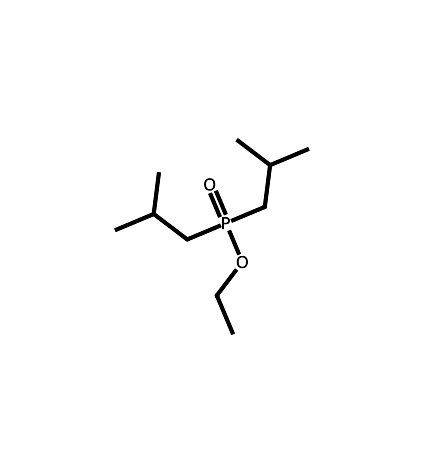 CCOP(=O)(CC(C)C)CC(C)C